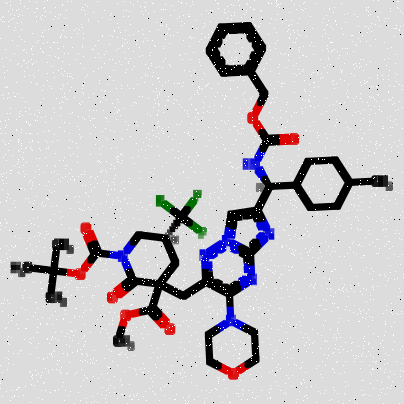 COC(=O)C1(Cc2nn3cc([C@@H](NC(=O)OCc4ccccc4)C4CCC(C)CC4)nc3nc2N2CCOCC2)C[C@@H](C(F)(F)F)CN(C(=O)OC(C)(C)C)C1=O